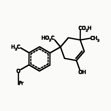 Cc1cc(C2(C(=O)O)CC(O)=CC(C)(C(=O)O)C2)ccc1OC(C)C